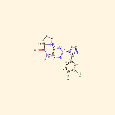 CCC12CCCN1c1nc(-n3ccnc3-c3ccc(F)c(Cl)c3)ncc1N(C)C2=O